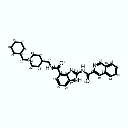 O=C(Nc1nc2c(C(=O)NCC3CCN(CC4CCCCC4)CC3)cccc2[nH]1)c1cc2ccccc2cn1